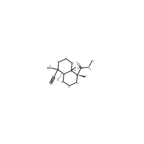 C#CC1(O)CCC[C@@H]2[C@](C)(C(=O)OC)CCC[C@]21C